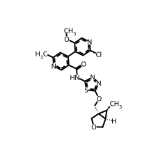 COc1cnc(Cl)cc1-c1cc(C)ncc1C(=O)Nc1nnc(OC[C@@]23COC[C@@H]2[C@@H]3C)s1